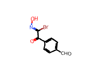 O=Cc1ccc(C(=O)C(Br)=NO)cc1